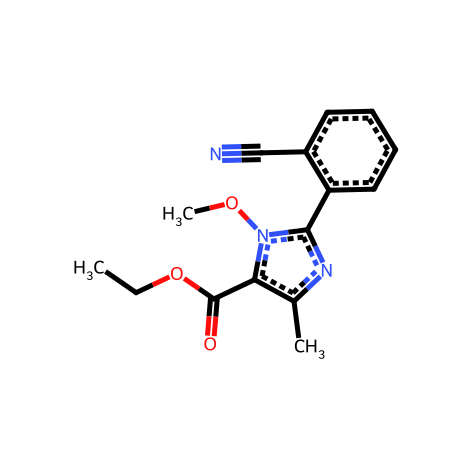 CCOC(=O)c1c(C)nc(-c2ccccc2C#N)n1OC